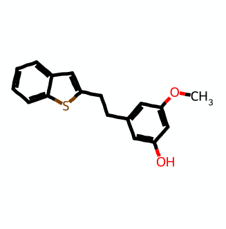 COc1cc(O)cc(CCc2cc3ccccc3s2)c1